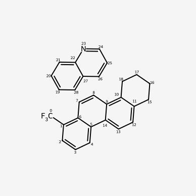 FC(F)(F)c1cccc2c1ccc1c3c(ccc12)CCCC3.c1ccc2ncccc2c1